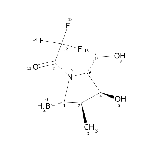 B[C@H]1[C@H](C)[C@H](O)[C@@H](CO)N1C(=O)C(F)(F)F